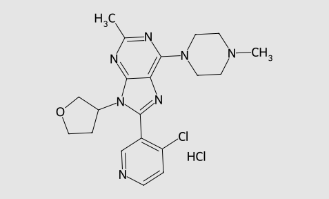 Cc1nc(N2CCN(C)CC2)c2nc(-c3cnccc3Cl)n(C3CCOC3)c2n1.Cl